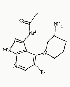 CC(=O)Nc1c[nH]c2ncc(Br)c(N3CCC[C@@H](N)C3)c12